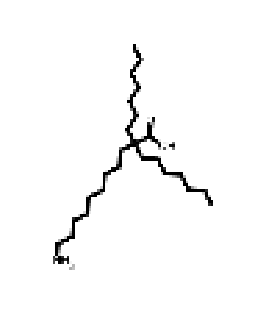 CCCCCCCC(CCCCCCC)(CCCCCCCCCN)C(=O)O